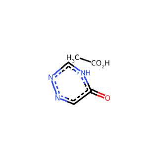 CC(=O)O.O=c1cnnc[nH]1